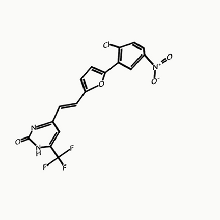 O=c1nc(/C=C/c2ccc(-c3cc([N+](=O)[O-])ccc3Cl)o2)cc(C(F)(F)F)[nH]1